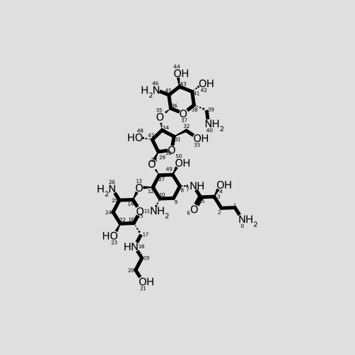 NCC[C@H](O)C(=O)N[C@@H]1C[C@H](N)[C@@H](O[C@H]2O[C@H](CNCCO)[C@@H](O)CC2N)[C@H](O[C@@H]2O[C@H](CO)[C@@H](O[C@H]3O[C@@H](CN)[C@@H](O)[C@H](O)C3N)[C@H]2O)[C@H]1O